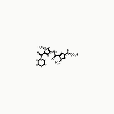 Cn1cc(NC(=O)O)cc1C(=O)Nc1cc(C(=O)N2CCCCC2)n(C)c1